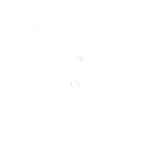 O=C(O)C1CC2(CC1c1ncc(-c3ccc(Br)cc3)[nH]1)SCCCS2